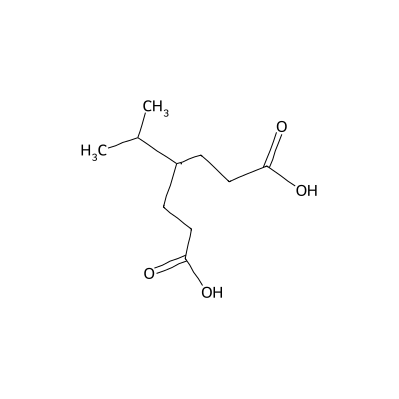 CC(C)[C](CCC(=O)O)CCC(=O)O